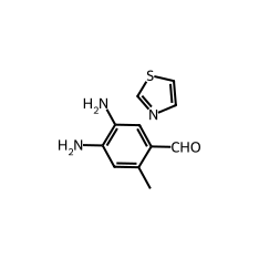 Cc1cc(N)c(N)cc1C=O.c1cscn1